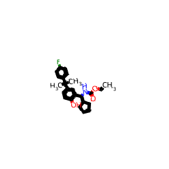 CCOC(=O)NC(c1cc(C(C)(C)c2ccc(F)cc2)ccc1O)C1CCCC1